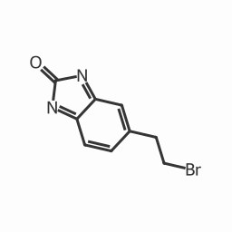 O=C1N=c2ccc(CCBr)cc2=N1